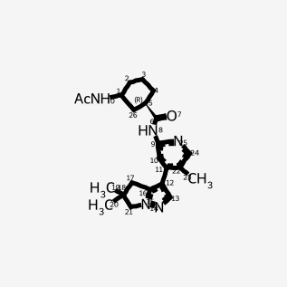 CC(=O)NC1CCC[C@@H](C(=O)Nc2cc(-c3cnn4c3CC(C)(C)C4)c(C)cn2)C1